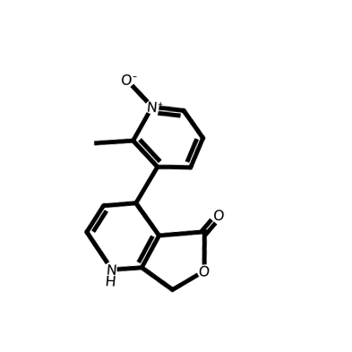 Cc1c(C2C=CNC3=C2C(=O)OC3)ccc[n+]1[O-]